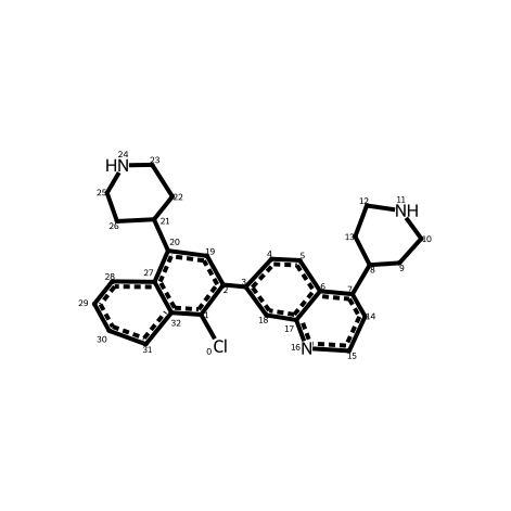 Clc1c(-c2ccc3c(C4CCNCC4)ccnc3c2)cc(C2CCNCC2)c2ccccc12